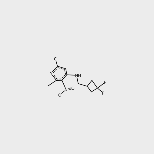 Cc1nc(Cl)cc(NCC2CC(F)(F)C2)c1[N+](=O)[O-]